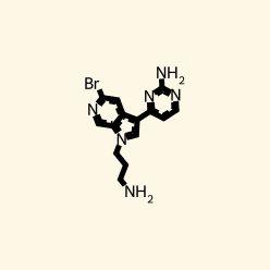 NCCCn1cc(-c2ccnc(N)n2)c2cc(Br)ncc21